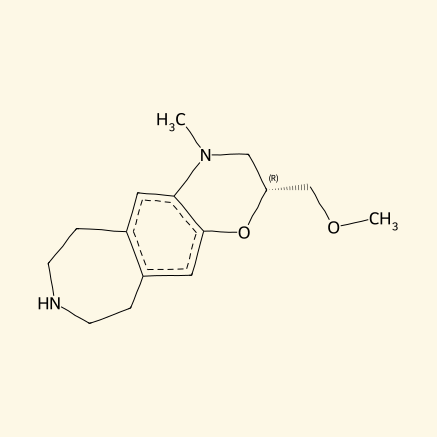 COC[C@H]1CN(C)c2cc3c(cc2O1)CCNCC3